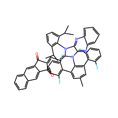 Cc1cc(-c2c(F)cccc2F)c(N2/C(=C/C=C3C(=O)c4cc5ccccc5cc4C3=O)N(c3c(C(C)C)cccc3C(C)C)c3nc4ccccc4nc32)c(-c2c(F)cccc2F)c1